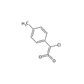 Cc1ccc(C(Cl)=S(=O)=O)cc1